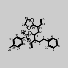 C=CC(CCc1ccccc1)C(CC(C=C)C1OCCO1)OS(=O)(=O)c1ccc(C)cc1